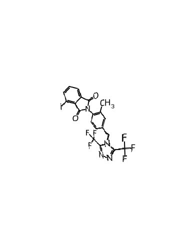 Cc1cc(Cn2c(C(F)(F)F)nnc2C(F)(F)F)ccc1N1C(=O)c2cccc(I)c2C1=O